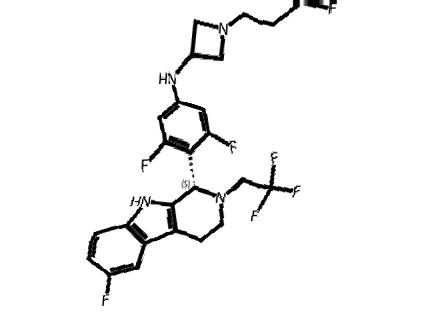 FCCCN1CC(Nc2cc(F)c([C@H]3c4[nH]c5ccc(F)cc5c4CCN3CC(F)(F)F)c(F)c2)C1